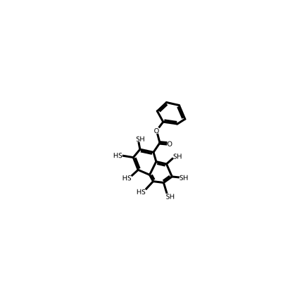 O=C(Oc1ccccc1)c1c(S)c(S)c(S)c2c(S)c(S)c(S)c(S)c12